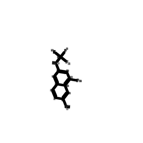 Oc1ccc2cc(NC(F)(F)F)cc(F)c2c1